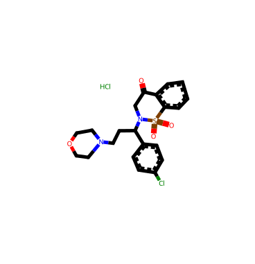 Cl.O=C1CN(C(CCN2CCOCC2)c2ccc(Cl)cc2)S(=O)(=O)c2ccccc21